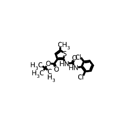 Cc1cc(C(=O)OC(C)(C)C)c(NC(=O)Nc2c(Cl)cccc2Cl)s1